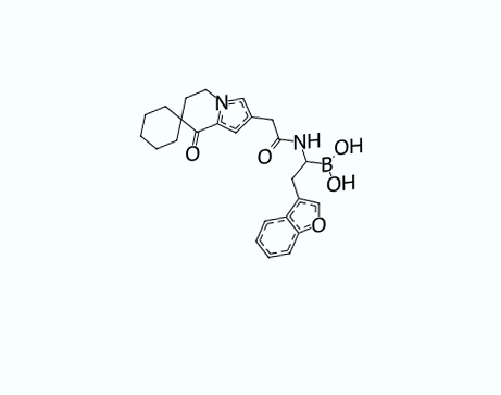 O=C(Cc1cc2n(c1)CCC1(CCCCC1)C2=O)NC(Cc1coc2ccccc12)B(O)O